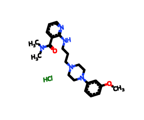 COc1cccc(N2CCN(CCCNc3ncccc3C(=O)N(C)C)CC2)c1.Cl